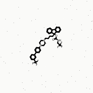 O=C(NCC(F)(F)F)OC1(CCCCN2CCN(c3ccc(-c4cccc(C(F)(F)F)c4)cc3)CC2)c2ccccc2-c2ccccc21